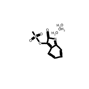 CS(=O)(=O)OC1=c2ccccc2=NC1=O.O.O.O